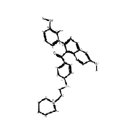 COc1ccc2c(C(=O)C3=CCC(OCCN4CCCCC4)C=C3)c(-c3cccc(OC)c3C)ccc2c1